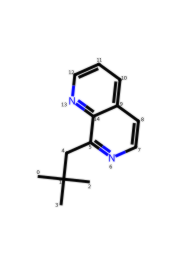 CC(C)(C)Cc1nccc2cccnc12